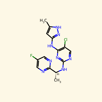 Cc1cc(Nc2nc(N[C@H](C)c3ncc(F)cn3)ncc2Cl)n[nH]1